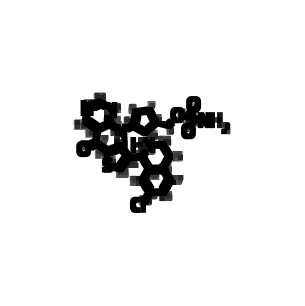 NS(=O)(=O)OC[C@@H]1CC=C(Nc2ncncc2C(=O)c2cc(C3NCCc4ccc(Cl)cc43)cs2)C1